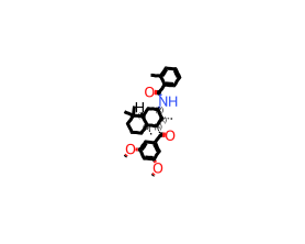 COc1cc(OC)cc(C(=O)[C@H]2[C@@H](C)[C@H](NC(=O)c3ccccc3C)C[C@H]3C(C)(C)CCC[C@]23C)c1